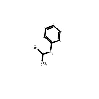 OC(Sc1ccccc1)C(Cl)(Cl)Cl